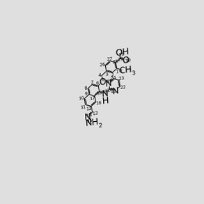 Cc1cc(COc2ccc3ccc(C=NN)cc3c2Nc2ncccn2)ccc1C(=O)O